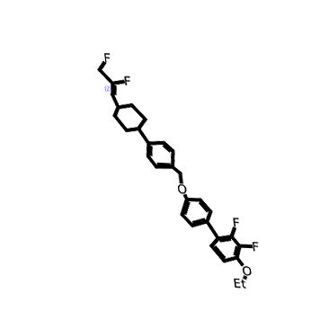 CCOc1ccc(-c2ccc(OCc3ccc(C4CCC(/C=C(\F)CF)CC4)cc3)cc2)c(F)c1F